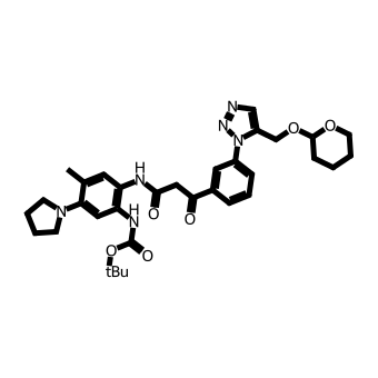 Cc1cc(NC(=O)CC(=O)c2cccc(-n3nncc3COC3CCCCO3)c2)c(NC(=O)OC(C)(C)C)cc1N1CCCC1